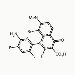 CNc1ccc2c(=O)c(C(=O)O)c(F)n(-c3nc(N)c(F)cc3F)c2c1Br